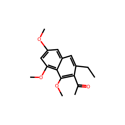 CCc1cc2cc(OC)cc(OC)c2c(OC)c1C(C)=O